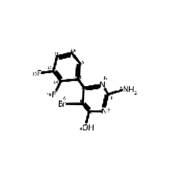 Nc1nc(O)c(Br)c(-c2cccc(F)c2F)n1